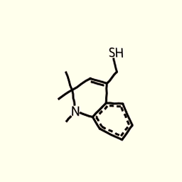 CN1c2ccccc2C(CS)=CC1(C)C